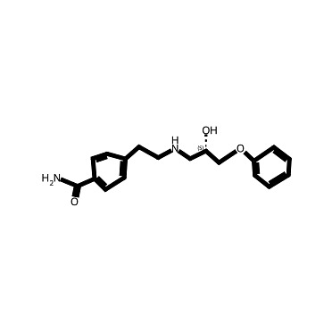 NC(=O)c1ccc(CCNC[C@H](O)COc2ccccc2)cc1